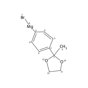 CC1(c2cc[c]([Mg][Br])cc2)OCCO1